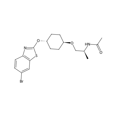 CC(=O)N[C@@H](C)CO[C@H]1CC[C@H](Oc2nc3ccc(Br)cc3s2)CC1